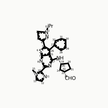 CC(C)n1ccc(-c2sc3nc(-c4nccn4C)nc(N[C@@H]4CC[C@H](C=O)C4)c3c2-c2ccccc2)n1